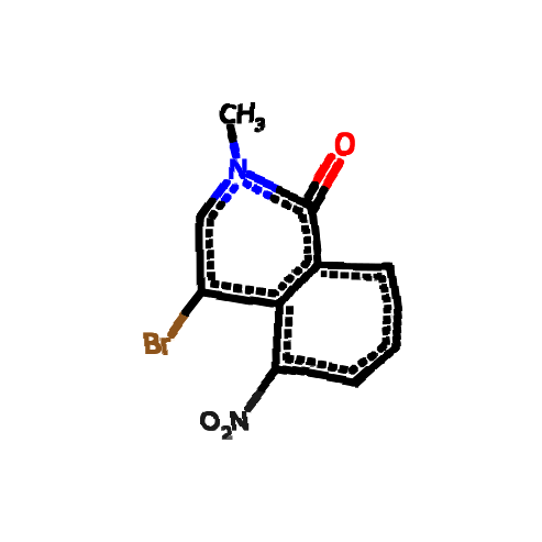 Cn1cc(Br)c2c([N+](=O)[O-])cccc2c1=O